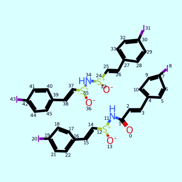 O=C(C=Cc1ccc(I)cc1)N[S+]([O-])C=Cc1ccc(I)cc1.[O-][S+](C=Cc1ccc(I)cc1)N[S+]([O-])C=Cc1ccc(I)cc1